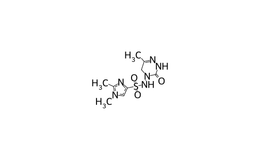 CC1=NNC(=O)N(NS(=O)(=O)c2cn(C)c(C)n2)C1